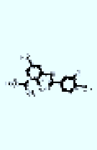 Cc1cc(NC(=O)c2ccc(N)c(Cl)c2)c(=O)n(C(C)C(=O)O)c1